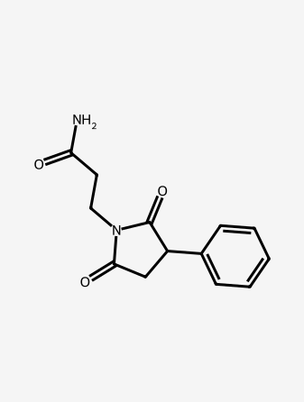 NC(=O)CCN1C(=O)CC(c2ccccc2)C1=O